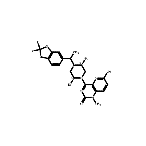 CC[C@H]1CN(C(C)c2ccc3c(c2)OC(F)(F)O3)[C@@H](CC)CN1c1nc(=O)n(C)c2ccc(C#N)nc12